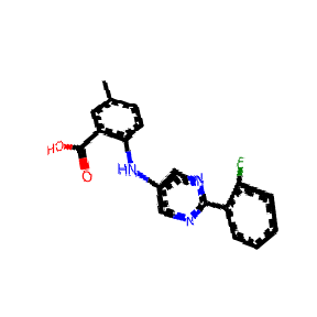 Cc1ccc(Nc2cnc(-c3ccccc3F)nc2)c(C(=O)O)c1